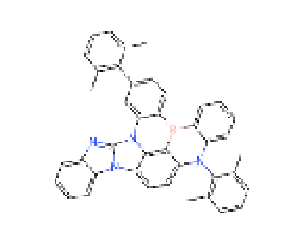 Cc1cccc(C)c1-c1ccc2c(c1)-n1c3c4c(ccc3n3c5ccccc5nc13)N(c1c(C)cccc1C)c1ccccc1B24